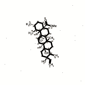 C=C[C@]1(O)CC[C@@]2(C)C(CC[C@]3(C)[C@@H]2CC=C2[C@@H]4[C@@H](C)[C@H](C)CC[C@]4(C(=O)OC)CC[C@]23C)C1C